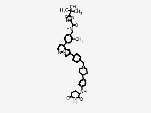 Cc1cc(-c2ccnn3cc(-c4ccc(CN5CCC(c6ccc(NC7CCC(=O)NC7=O)cc6)CC5)cc4)cc23)ccc1CNC(=O)c1noc(C(C)(C)C)n1